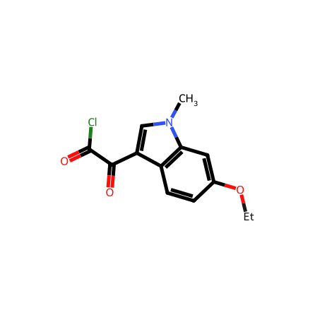 CCOc1ccc2c(C(=O)C(=O)Cl)cn(C)c2c1